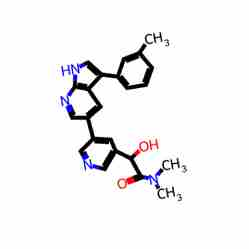 Cc1cccc(-c2c[nH]c3ncc(-c4cncc(C(O)C(=O)N(C)C)c4)cc23)c1